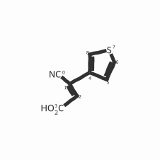 N#C/C(=C\C(=O)O)c1ccsc1